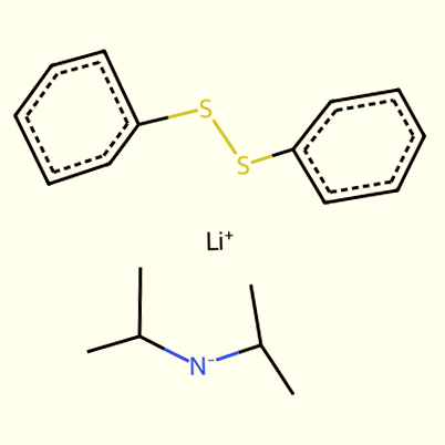 CC(C)[N-]C(C)C.[Li+].c1ccc(SSc2ccccc2)cc1